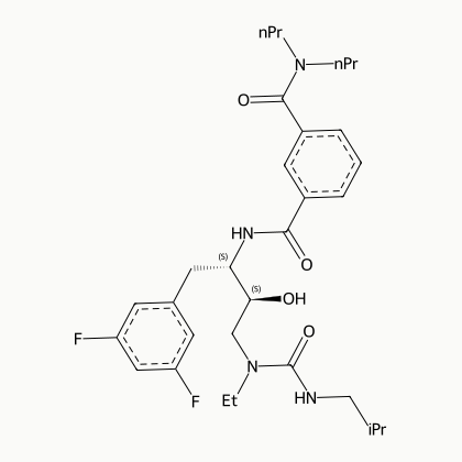 CCCN(CCC)C(=O)c1cccc(C(=O)N[C@@H](Cc2cc(F)cc(F)c2)[C@@H](O)CN(CC)C(=O)NCC(C)C)c1